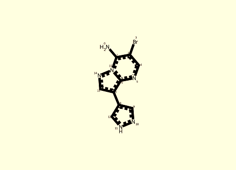 Nc1c(Br)cnc2c(-c3cn[nH]c3)cnn12